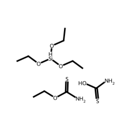 CCOC(N)=S.CCO[SiH](OCC)OCC.NC(O)=S